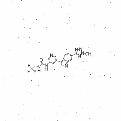 Cn1nnc(-c2ccn3c(-c4cncc(NC(=O)NCC(F)(F)F)c4)cnc3c2)n1